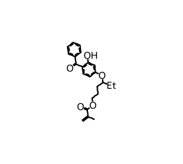 C=C(C)C(=O)OCCCC(CC)Oc1ccc(C(=O)c2ccccc2)c(O)c1